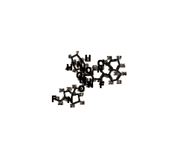 CC(C)(C)OC(=O)N1[C@@H]2CC[C@H]1CN(c1nc(OCC34CCCN3C(CF)CC4)nc3c(F)c(-c4cccc5cccc(Cl)c45)ncc13)C2